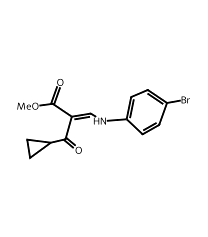 COC(=O)C(=CNc1ccc(Br)cc1)C(=O)C1CC1